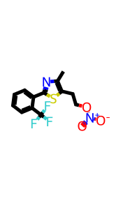 Cc1nc(-c2ccccc2C(F)(F)F)sc1CCO[N+](=O)[O-]